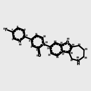 O=c1cc(-c2ccc(F)cn2)ccn1-c1ccc2c3c(oc2c1)CCCNC3